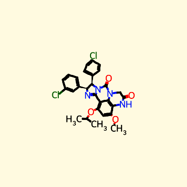 COc1cc(OC(C)C)c2c3c1NC(=O)CN3C(=O)N1C2=N[C@@H](c2cccc(Cl)c2)[C@H]1c1ccc(Cl)cc1